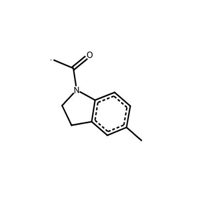 [CH2]C(=O)N1CCc2cc(C)ccc21